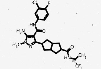 C[C@@H](NC(=O)C1CC2CC(c3nn(C)c(N)c3C(=O)Nc3ccc(F)c(Cl)c3)CC2C1)C(F)(F)F